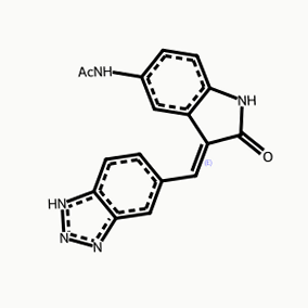 CC(=O)Nc1ccc2c(c1)/C(=C\c1ccc3[nH]nnc3c1)C(=O)N2